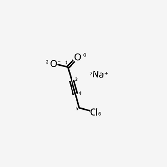 O=C([O-])C#CCCl.[Na+]